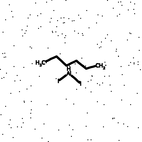 [CH2]CCCCC.[I][AlH][I]